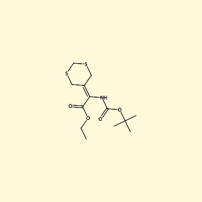 CCOC(=O)C(NC(=O)OC(C)(C)C)=C1CSCSC1